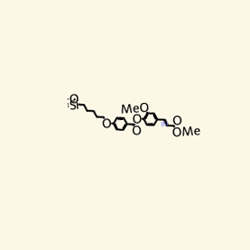 COC(=O)/C=C/c1ccc(OC(=O)c2ccc(OCCCCC[Si][O])cc2)c(OC)c1